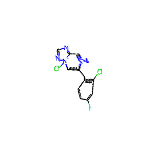 Fc1ccc(C2=C[N+]3(Cl)N=CN=C3C=N2)c(Cl)c1